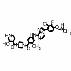 CNCOc1ccc(-c2cnc3c(Nc4ccc(C(=O)N5CCN(C(=O)C6CCNC[C@@H]6O)CC5)c(C)c4)nccn23)c(Cl)c1F